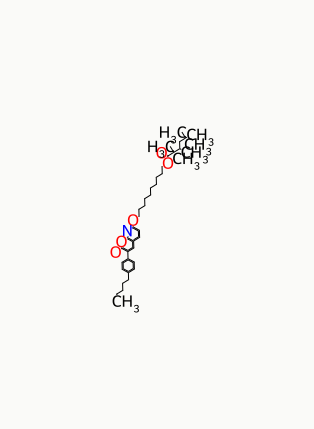 CCCCCc1ccc(-c2cc3ccc(OCCCCCCCCCCOC(=O)C(C)(C)C(C)CC(C)(C)C)nc3oc2=O)cc1